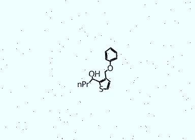 CCCC(O)c1sccc1COc1ccccc1